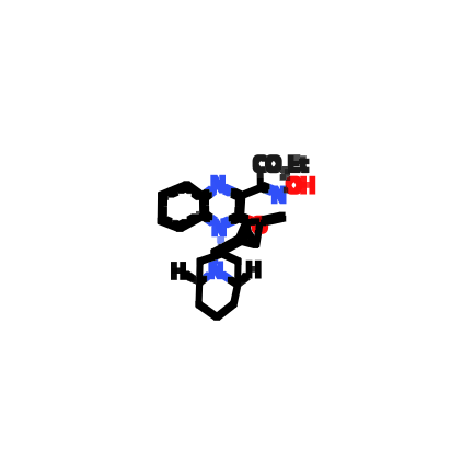 C=C1C2CC1C2=CN1[C@@H]2CCC[C@H]1C[C@@H](n1c(=O)c(/C(=N/O)C(=O)OCC)nc3ccccc31)C2